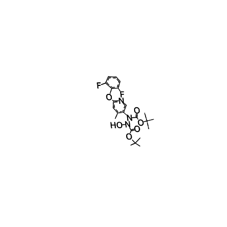 Cc1cc(Oc2c(F)cccc2F)ncc1N(C(=O)OC(C)(C)C)N(O)C(=O)OC(C)(C)C